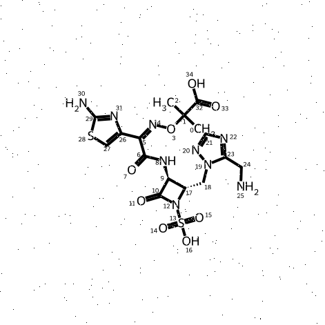 CC(C)(ON=C(C(=O)N[C@@H]1C(=O)N(S(=O)(=O)O)[C@H]1Cn1ncnc1CN)c1csc(N)n1)C(=O)O